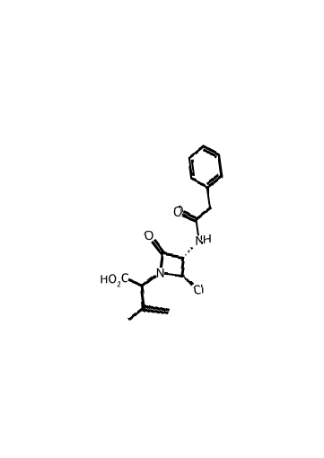 C=C(C)C(C(=O)O)N1C(=O)[C@H](NC(=O)Cc2ccccc2)[C@H]1Cl